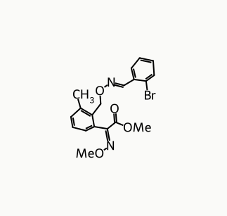 CO/N=C(/C(=O)OC)c1cccc(C)c1CO/N=C/c1ccccc1Br